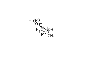 C=CC[C@@](O)(CCN[C@@H](C)c1ccc(-c2cccn(C)c2=O)cc1)c1ccc(F)cc1